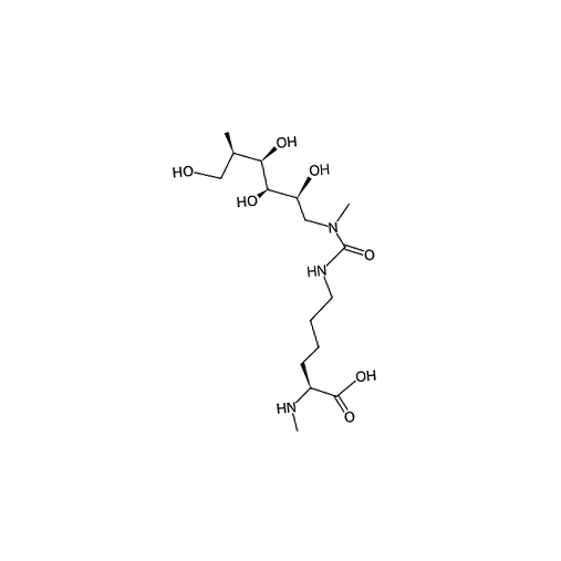 CN[C@@H](CCCCNC(=O)N(C)C[C@H](O)[C@@H](O)[C@H](O)[C@H](C)CO)C(=O)O